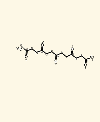 CCC(=O)CCC(=O)CCC(=O)CCC(=O)CCC(N)=O